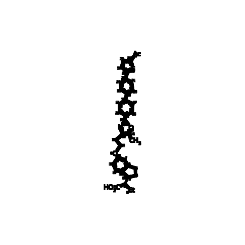 CCC(C(=O)O)[C@@H]1CCc2cc(OCCc3nc(-c4ccc(-c5ccc(-c6ccc(C(C)=O)s6)cc5)cc4)oc3C)ccc21